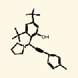 Cc1ccc(C#CC(c2c(O)cc(C(C)(C)C)cc2C(C)(C)C)N2CCCC2)cc1